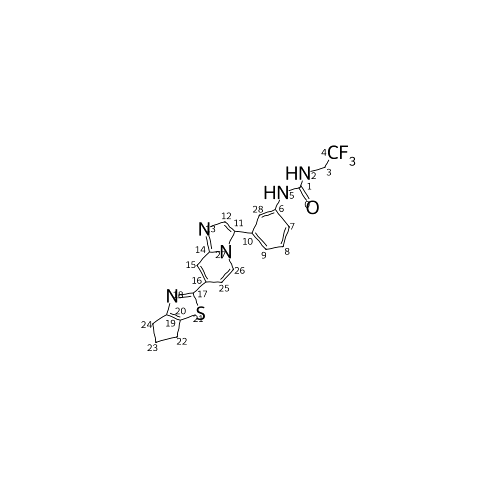 O=C(NCC(F)(F)F)Nc1cccc(-c2cnc3cc(-c4nc5c(s4)CCC5)ccn23)c1